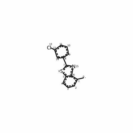 [CH2]c1cccc2sc(-c3cccc(Cl)c3)nc12